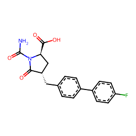 NC(=O)N1C(=O)[C@@H](Cc2ccc(-c3ccc(F)cc3)cc2)C[C@@H]1C(=O)O